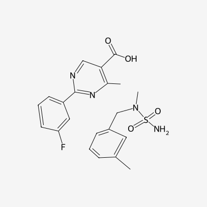 Cc1cccc(CN(C)S(N)(=O)=O)c1.Cc1nc(-c2cccc(F)c2)ncc1C(=O)O